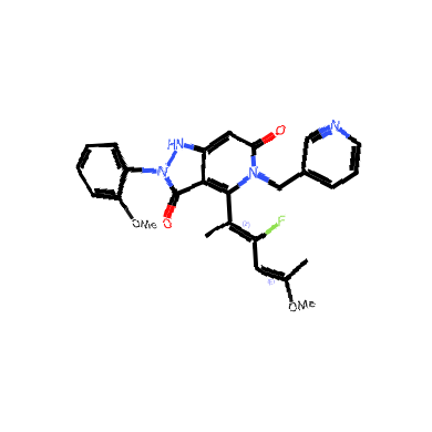 CO/C(C)=C/C(F)=C(\C)c1c2c(=O)n(-c3ccccc3OC)[nH]c2cc(=O)n1Cc1cccnc1